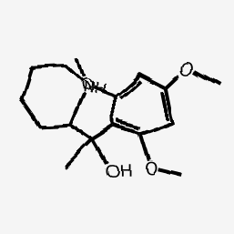 COc1cc(OC)c(C(C)(O)C2CCCCN2)c(OC)c1